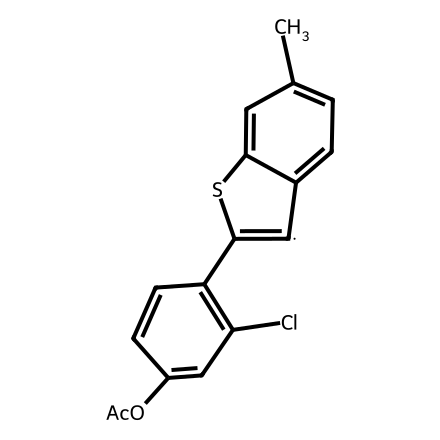 CC(=O)Oc1ccc(-c2[c]c3ccc(C)cc3s2)c(Cl)c1